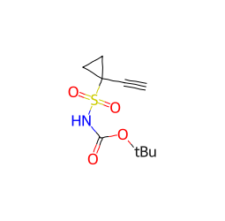 C#CC1(S(=O)(=O)NC(=O)OC(C)(C)C)CC1